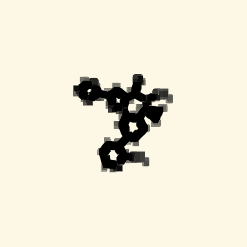 Cc1ncccc1-c1ccc2c(c1)-n1nc(-c3nnco3)cc1C(=O)N(C)C21CC1